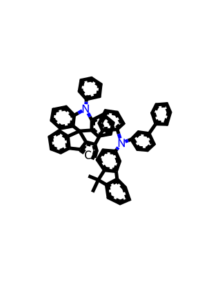 CC1(C)c2ccccc2-c2cc(N(c3cccc(-c4ccccc4)c3)c3ccccc3-c3cccc4c3C3(c5ccccc5-4)c4ccccc4N(c4ccccc4)c4ccccc43)ccc21